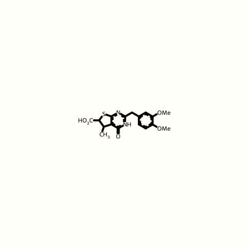 COc1ccc(Cc2nc3c(c(=O)[nH]2)C(C)C(C(=O)O)S3)cc1OC